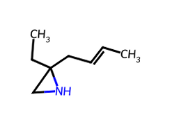 CC=CCC1(CC)CN1